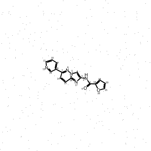 O=C(Nc1cn2nc(-c3cccnc3)ccc2n1)c1ccco1